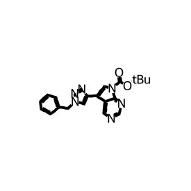 CC(C)(C)OC(=O)n1cc(-c2cn(Cc3ccccc3)nn2)c2cncnc21